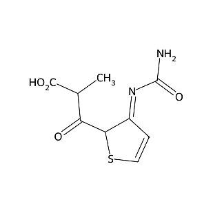 CC(C(=O)O)C(=O)C1SC=CC1=NC(N)=O